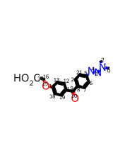 CN(C)N=Nc1ccc(C(=O)c2ccc(OCC(=O)O)cc2)cc1